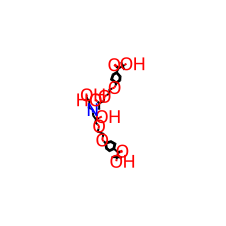 CC(C)(O)C(=O)c1ccc(OCCOCC(O)CN(CCCO)CC(O)COCCOc2ccc(C(=O)C(C)(C)O)cc2)cc1